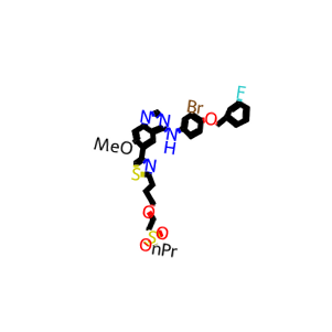 CCCS(=O)(=O)CCOCCCc1nc(-c2cc3c(Nc4ccc(OCc5cccc(F)c5)c(Br)c4)ncnc3cc2OC)cs1